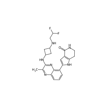 Cc1nc2cccc(-c3cc4c([nH]3)CCNC4=O)c2nc1NC1CC(NCC(F)F)C1